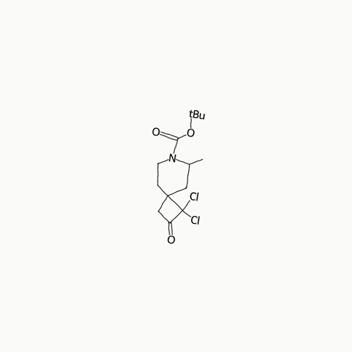 CC1CC2(CCN1C(=O)OC(C)(C)C)CC(=O)C2(Cl)Cl